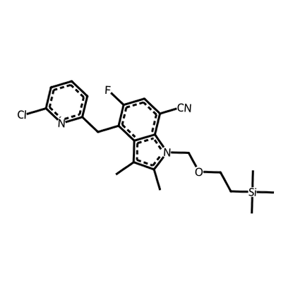 Cc1c(C)n(COCC[Si](C)(C)C)c2c(C#N)cc(F)c(Cc3cccc(Cl)n3)c12